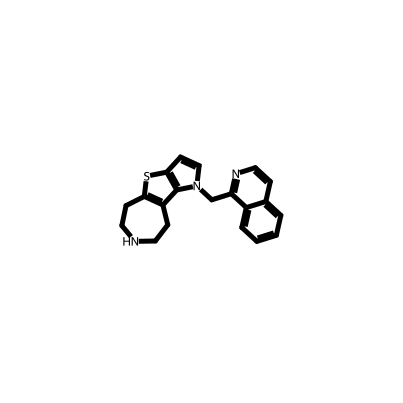 c1ccc2c(Cn3ccc4sc5c(c43)CCNCC5)nccc2c1